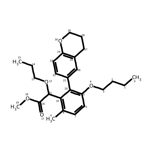 CCCCOc1ccc(C)c(C(OCCC)C(=O)OC)c1-c1ccc2c(c1)CCCO2